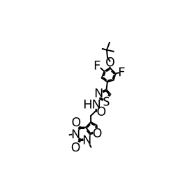 Cn1c(=O)c2c(CC(=O)Nc3nc(-c4cc(F)c(OCC(C)(C)C)c(F)c4)cs3)coc2n(C)c1=O